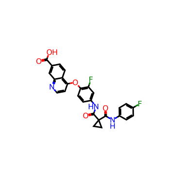 O=C(O)c1ccc2c(Oc3ccc(NC(=O)C4(C(=O)Nc5ccc(F)cc5)CC4)cc3F)ccnc2c1